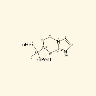 CCCCCCC(C)(CCCCC)N1CCn2ccnc2C1